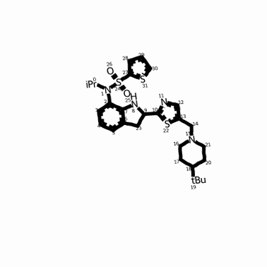 CC(C)N(c1cccc2c1NC(c1ncc(CN3CCC(C(C)(C)C)CC3)s1)C2)S(=O)(=O)c1cccs1